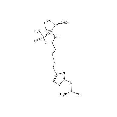 NC(N)=Nc1nc(CSCCC(=NS(N)(=O)=O)NN2CCC[C@H]2[C]=O)cs1